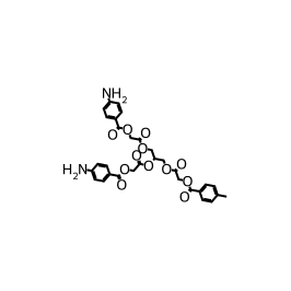 Cc1ccc(C(=O)OCC(=O)OCC(COC(=O)COC(=O)c2ccc(N)cc2)OC(=O)COC(=O)c2ccc(N)cc2)cc1